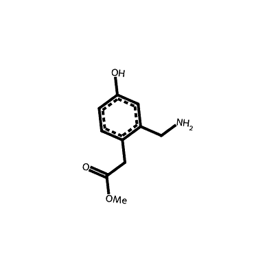 COC(=O)Cc1ccc(O)cc1CN